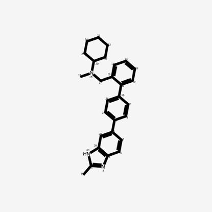 Cc1nc2ccc(-c3ccc(-c4ccccc4CN(C)C4CCCCC4)cc3)cc2[nH]1